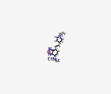 CCC[n+]1ccc(/C=C/c2ccc(N(CC)CC)c3nonc23)cc1